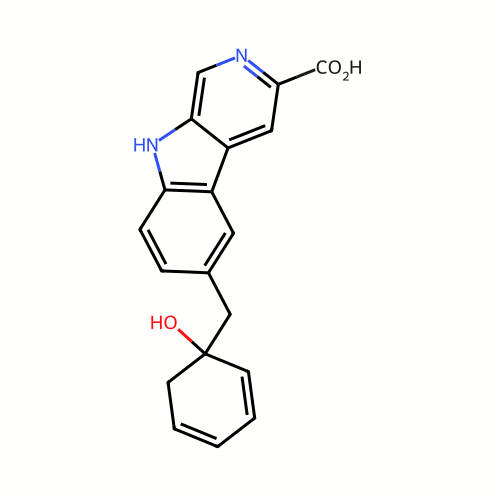 O=C(O)c1cc2c(cn1)[nH]c1ccc(CC3(O)C=CC=CC3)cc12